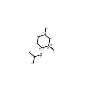 CC(C)O[C@@H]1CCN(C)C[C@H]1F